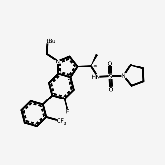 C[C@@H](NS(=O)(=O)N1CCCC1)c1cn(CC(C)(C)C)c2cc(-c3ccccc3C(F)(F)F)c(F)cc12